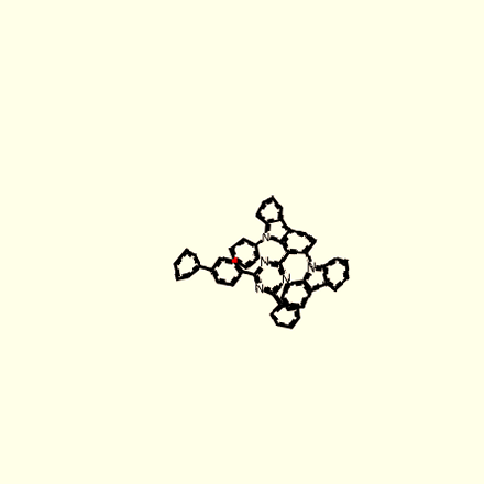 c1ccc(-c2ccc(-c3nc(-c4ccccc4)nc(-c4c(-n5c6ccccc6c6ccccc65)ccc5c6ccccc6n(-c6ccccc6)c45)n3)cc2)cc1